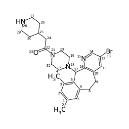 Cc1cc(C)c2c(c1)CCc1cc(Br)cnc1C2N1CCN(C(=O)CC2CCNCC2)CC1